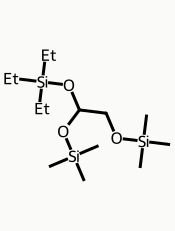 CC[Si](CC)(CC)OC(CO[Si](C)(C)C)O[Si](C)(C)C